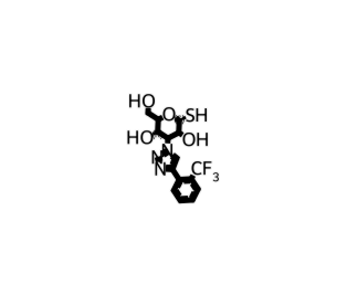 OCC1O[C@@H](S)C(O)C(n2cc(-c3ccccc3C(F)(F)F)nn2)[C@H]1O